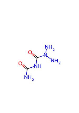 NC(=O)NC(=O)N(N)N